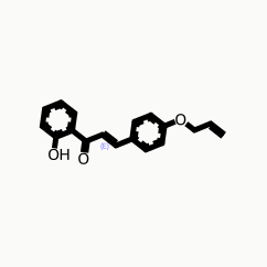 C=CCOc1ccc(/C=C/C(=O)c2ccccc2O)cc1